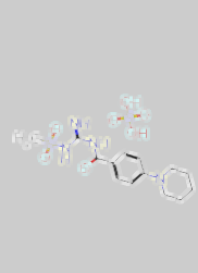 CS(=O)(=O)NC(=N)NC(=O)c1ccc(N2CCCCC2)cc1.O=S(=O)(O)O